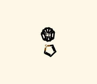 [CH]12[CH]3[CH]4[CH]5[CH]1[Fe]23451678[CH]2[CH]1[CH]6[CH]7[CH]28.c1ccsc1